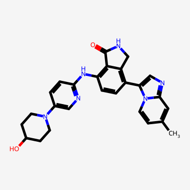 Cc1ccn2c(-c3ccc(Nc4ccc(N5CCC(O)CC5)cn4)c4c3CNC4=O)cnc2c1